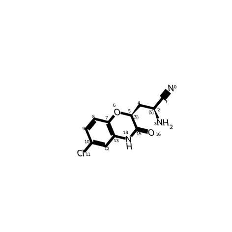 N#C[C@@H](N)C[C@@H]1Oc2ccc(Cl)cc2NC1=O